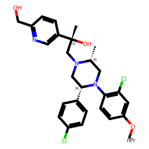 CCCOc1ccc(N2C[C@@H](C)N(C[C@@](C)(O)c3ccc(CO)nc3)C[C@H]2c2ccc(Cl)cc2)c(Cl)c1